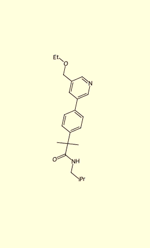 CCOCc1cncc(-c2ccc(C(C)(C)C(=O)NCC(C)C)cc2)c1